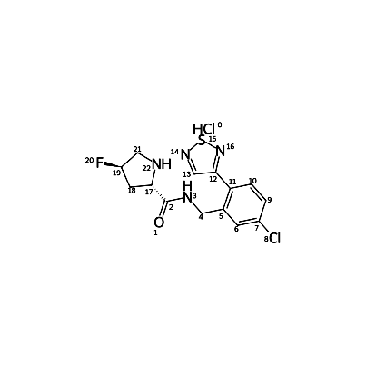 Cl.O=C(NCc1cc(Cl)ccc1-c1cnsn1)[C@@H]1C[C@@H](F)CN1